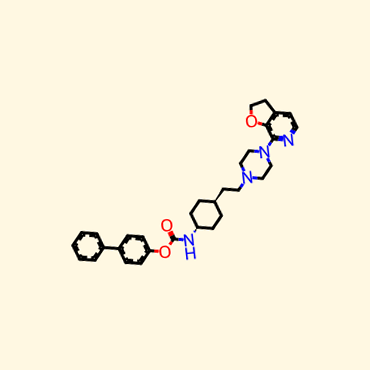 O=C(N[C@H]1CC[C@H](CCN2CCN(c3nccc4c3OCC4)CC2)CC1)Oc1ccc(-c2ccccc2)cc1